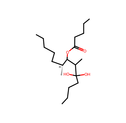 CCCCC[C@@H](C)C(OC(=O)CCCC)C(C)C(O)(O)CCCC